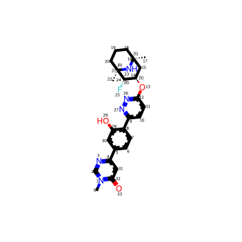 Cn1cnc(-c2ccc(-c3ccc(O[C@H]4C[C@]5(C)CCC[C@@](C)(N5)[C@H]4F)nn3)c(O)c2)cc1=O